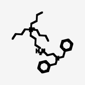 CCCC[N+](CCCC)(CCCC)CCCC.NCCN(Cc1ccccc1)Cc1ccccc1